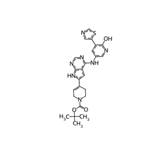 CC(C)(C)OC(=O)N1CC=C(c2cc3c(Nc4cnc(O)c(-c5cncs5)c4)ncnc3[nH]2)CC1